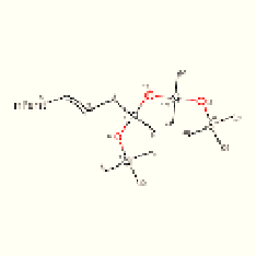 CCCCCC=CC[Si](C)(O[Si](C)(C)C)O[Si](C)(C)O[Si](C)(C)C